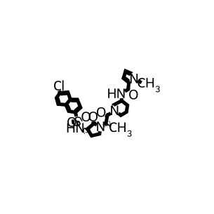 C[C@@H](C(=O)N1CCCC(NC(=O)c2cccn2C)C1)N1CC[C@H](NS(=O)(=O)c2ccc3cc(Cl)ccc3c2)C1=O